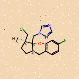 C[C@@]1(CCl)CC[C@H](Cc2ccc(F)cc2)[C@]1(O)Cn1cncn1